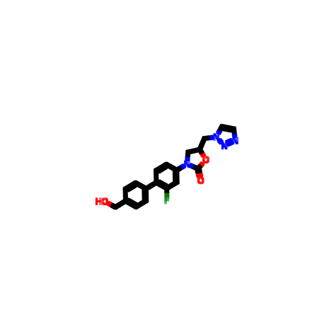 O=C1OC(Cn2ccnn2)CN1c1ccc(-c2ccc(CO)cc2)c(F)c1